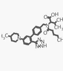 CCCCC(=O)N(Cc1ccc(-c2cc(N3CCC(C)CC3)ccc2-c2nn[nH]n2)cc1)C(C(=O)O)C(C)C